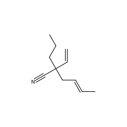 C=CC(C#N)(C/C=C/C)CCC